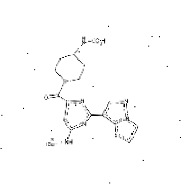 CC[C@@H](C)Nc1cc(C(=O)N2CCC(NC(=O)O)CC2)nc(-c2cnn3ccsc23)n1